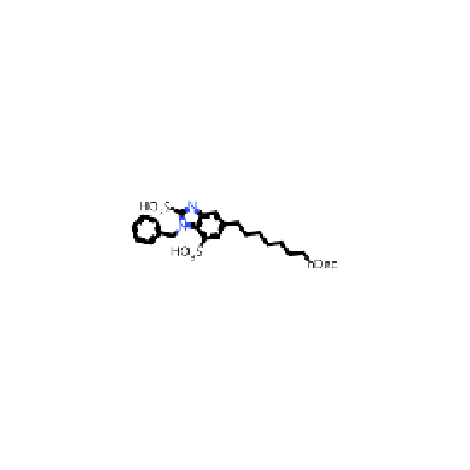 CCCCCCCCCCCCCCCCCc1cc(S(=O)(=O)O)c2c(c1)nc(S(=O)(=O)O)n2Cc1ccccc1